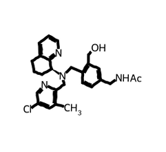 CC(=O)NCc1ccc(CN(Cc2ncc(Cl)cc2C)[C@H]2CCCc3cccnc32)c(CO)c1